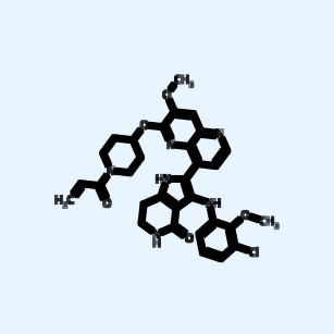 C=CC(=O)N1CCC(Oc2nc3c(-c4[nH]c5c(c4Nc4cccc(Cl)c4OC)C(=O)NCC5)ccnc3cc2OC)CC1